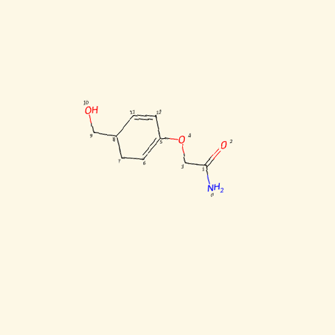 NC(=O)COC1=CCC(CO)C=C1